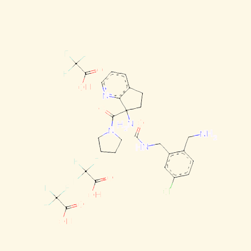 NCc1ccc(Cl)cc1CNC(=O)[C@@H]1CCCN1C(=O)C1(N)CCc2cccnc21.O=C(O)C(F)(F)F.O=C(O)C(F)(F)F.O=C(O)C(F)(F)F